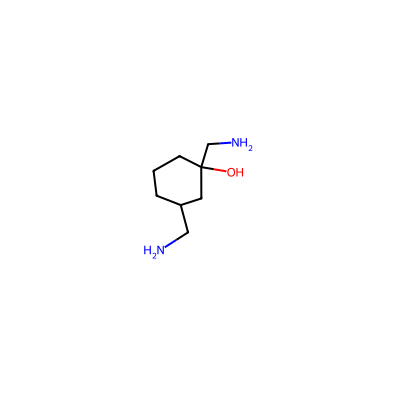 NCC1CCCC(O)(CN)C1